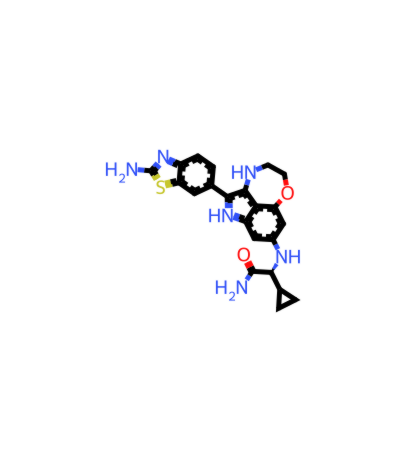 NC(=O)[C@@H](Nc1cc2c3c(c(-c4ccc5nc(N)sc5c4)[nH]c3c1)NCCO2)C1CC1